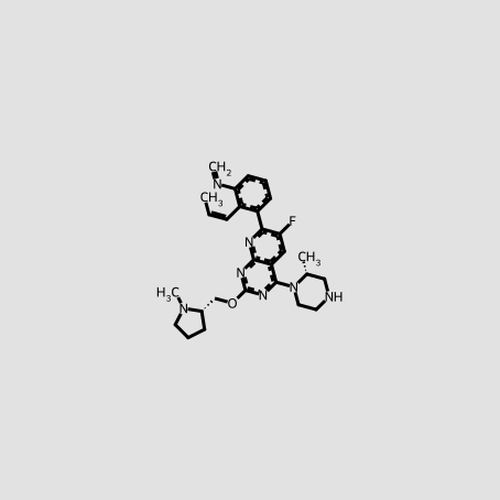 C=Nc1cccc(-c2nc3nc(OC[C@@H]4CCCN4C)nc(N4CCNC[C@H]4C)c3cc2F)c1/C=C\C